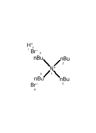 CCCC[N+](CCCC)(CCCC)CCCC.[Br-].[Br-].[H+]